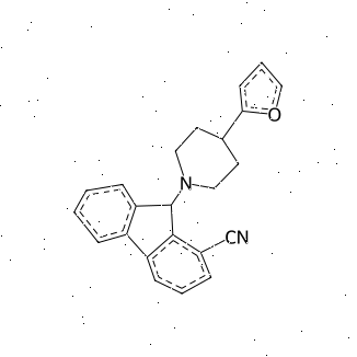 N#Cc1cccc2c1C(N1CCC(c3ccco3)CC1)c1ccccc1-2